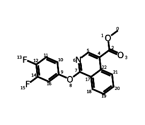 COC(=O)c1cnc(Oc2ccc(F)c(F)c2)c2ccccc12